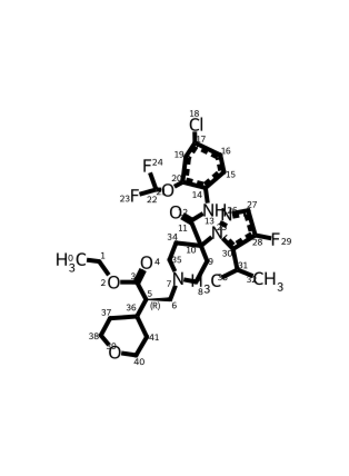 CCOC(=O)[C@@H](CN1CCC(C(=O)Nc2ccc(Cl)cc2OC(F)F)(n2ncc(F)c2C(C)C)CC1)C1CCOCC1